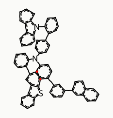 c1cc(-c2ccc(N(c3ccc(-c4ccccc4-n4c5ccccc5c5ccccc54)cc3)c3ccccc3-c3ccc4sc5ccccc5c4c3)cc2)cc(-c2ccc3ccccc3c2)c1